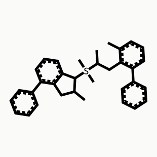 Cc1cccc(-c2ccccc2)c1CC(C)S(C)(C)C1c2cccc(-c3ccccc3)c2CC1C